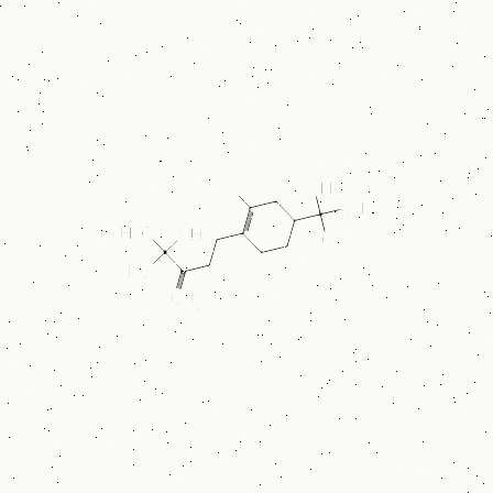 C=C(CCC1=C(C)CC(C(C)(C)C)CC1)C(C)(C)C